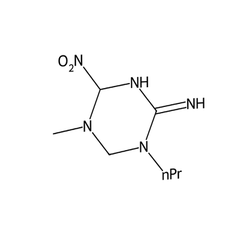 CCCN1CN(C)C([N+](=O)[O-])NC1=N